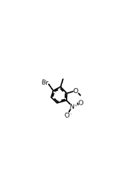 COc1c([N+](=O)[O-])ccc(Br)c1C